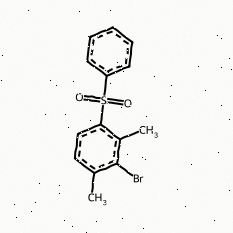 Cc1ccc(S(=O)(=O)c2ccccc2)c(C)c1Br